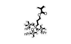 C=C(C)C(=O)OCCC[Si](O[Si](C)(C)CCC)(O[Si](C)(C)CCC)O[Si](C)(C)CCC